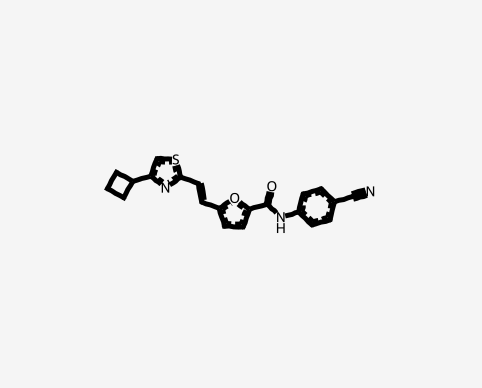 N#Cc1ccc(NC(=O)c2ccc(C=Cc3nc(C4CCC4)cs3)o2)cc1